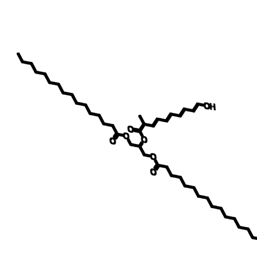 CCCCCCCCCCCCCCCC(=O)OCC(COC(=O)CCCCCCCCCCCCCCC)OC(=O)C(C)CCCCCCCCO